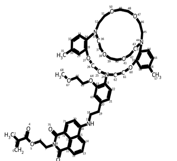 C=C(C)C(=O)OCCN1C(=O)c2cccc3c(NCCc4ccc(N5CCOc6cc(C)ccc6N6CCOCCOCCN(CCOCCOCC6)c6ccc(C)cc6OCC5)c(OCCOC)c4)ccc(c23)C1=O